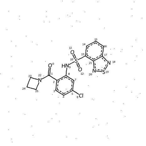 O=C(c1ccc(Cl)cc1NS(=O)(=O)c1cccc2nsnc12)N1CCC1